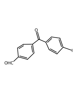 O=Cc1ccc(C(=O)c2ccc(I)cc2)cc1